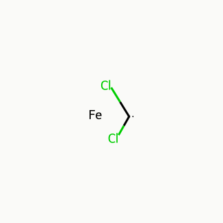 Cl[CH]Cl.[Fe]